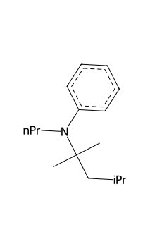 CCCN(c1ccccc1)C(C)(C)CC(C)C